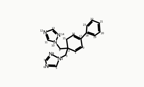 C1=CC(Cn2cncn2)(Cn2cncn2)CC=C1c1ccccc1